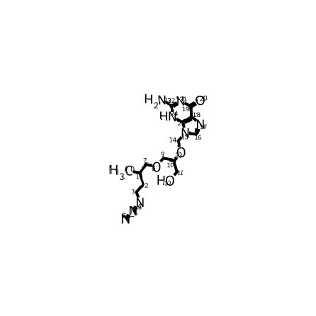 CC(CCN=[N+]=[N-])COCC(CO)OCn1cnc2c(=O)nc(N)[nH]c21